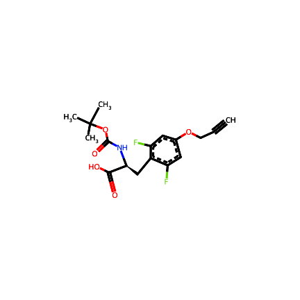 C#CCOc1cc(F)c(C[C@H](NC(=O)OC(C)(C)C)C(=O)O)c(F)c1